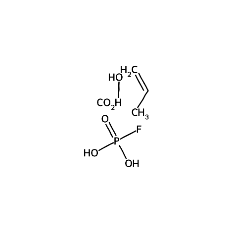 C=CC.O=C(O)O.O=P(O)(O)F